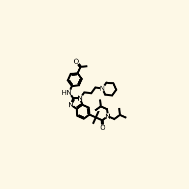 CC(=O)c1ccc(Nc2nc3ccc(C(C)(C)C(=O)N(CC(C)C)CC(C)C)cc3n2CCCN2CCCCC2)cc1